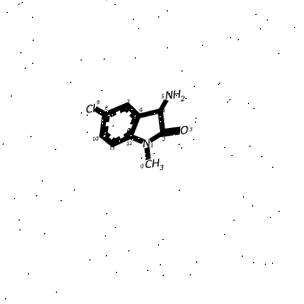 CN1C(=O)C(N)c2cc(Cl)ccc21